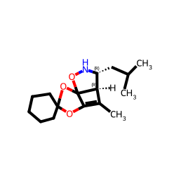 CC1=C2OC3(CCCCC3)OC23ON[C@H](CC(C)C)[C@@H]13